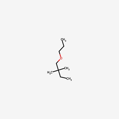 CCCOCC(C)(C)CC